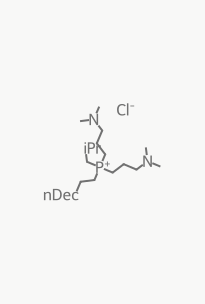 CCCCCCCCCCCC[P+](CCCN(C)C)(CCCN(C)C)CC(C)C.[Cl-]